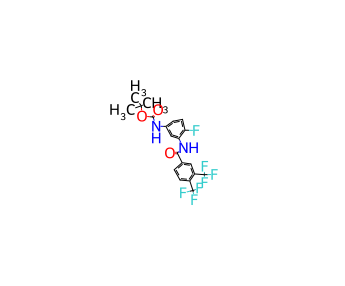 CC(C)(C)OC(=O)Nc1ccc(F)c(NC(=O)c2ccc(C(F)(F)F)c(C(F)(F)F)c2)c1